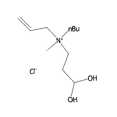 C=CC[N+](C)(CCCC)CCC(O)O.[Cl-]